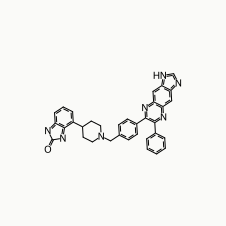 O=C1N=c2cccc(C3CCN(Cc4ccc(-c5nc6cc7[nH]cnc7cc6nc5-c5ccccc5)cc4)CC3)c2=N1